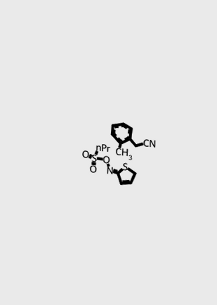 CCCS(=O)(=O)ON=C1C=CCS1.Cc1ccccc1CC#N